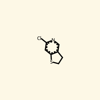 Clc1cc2c(cn1)CCS2